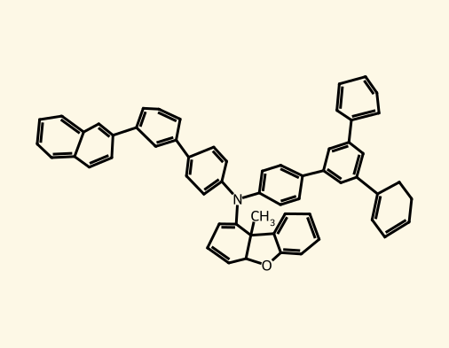 CC12C(N(c3ccc(-c4cccc(-c5ccc6ccccc6c5)c4)cc3)c3ccc(-c4cc(C5=CC=CCC5)cc(-c5ccccc5)c4)cc3)=CC=CC1Oc1ccccc12